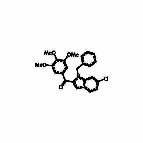 COc1cc(C(=O)c2cc3ccc(Cl)cc3n2Cc2ccccc2)cc(OC)c1OC